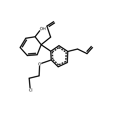 C=CCc1ccc(OCCCl)c(C2(CC=C)C=CC=CC2O)c1